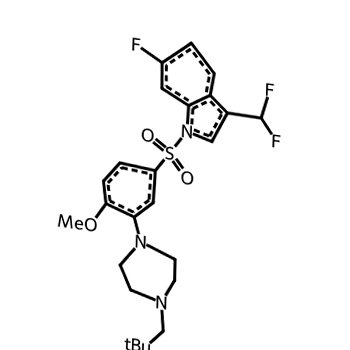 COc1ccc(S(=O)(=O)n2cc(C(F)F)c3ccc(F)cc32)cc1N1CCN(CC(C)(C)C)CC1